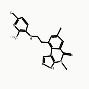 Cc1cc(CCNc2ccc(Cl)nc2C(=O)O)c2c(c1)c(=O)n(C)c1[nH]ncc21